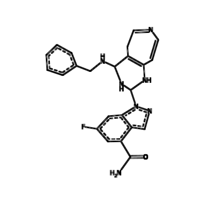 NC(=O)c1cc(F)cc2c1cnn2C1NC2=C(CC=NC=C2)C(NCc2ccccc2)N1